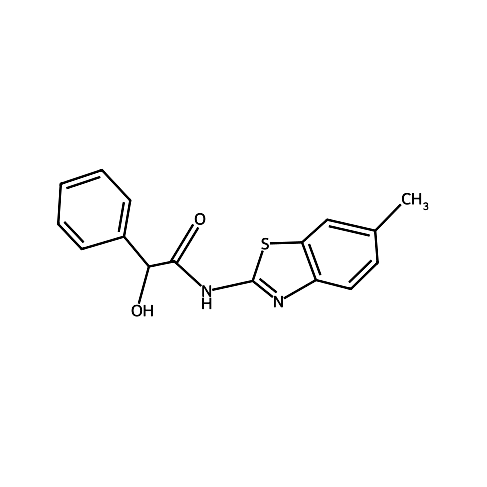 Cc1ccc2nc(NC(=O)C(O)c3ccccc3)sc2c1